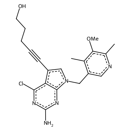 COc1c(C)ncc(Cn2cc(C#CCCCO)c3c(Cl)nc(N)nc32)c1C